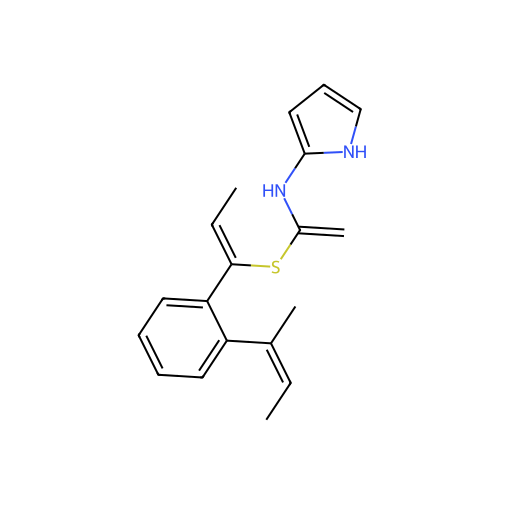 C=C(Nc1ccc[nH]1)S/C(=C\C)c1ccccc1/C(C)=C\C